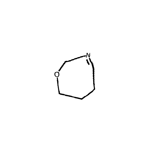 [C]1=NCOCCC1